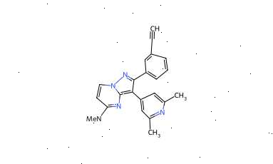 C#Cc1cccc(-c2nn3ccc(NC)nc3c2-c2cc(C)nc(C)c2)c1